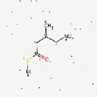 CCSC(=O)CC(C)C[N+](=O)[O-]